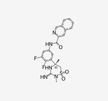 CN1C(=N)N[C@](C)(c2cc(NC(=O)c3cc4ccccc4cn3)cc(F)c2F)CS1(=O)=O